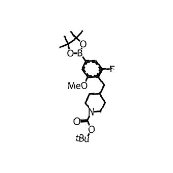 COc1cc(B2OC(C)(C)C(C)(C)O2)cc(F)c1CC1CCN(C(=O)OC(C)(C)C)CC1